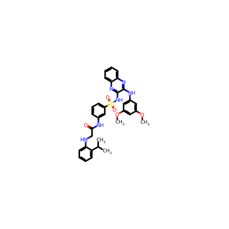 COc1cc(Nc2nc3ccccc3nc2NS(=O)(=O)c2cccc(NC(=O)CNc3ccccc3C(C)C)c2)cc(OC)c1